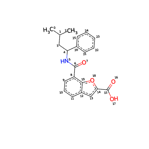 CC(C)CC(NC(=O)c1cccc2cc(C(=O)O)oc12)c1ccccc1